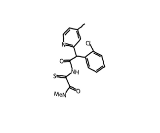 CNC(=O)C(=S)NC(=O)C(c1cc(C)ccn1)c1ccccc1Cl